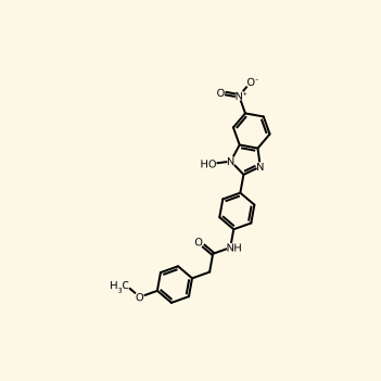 COc1ccc(CC(=O)Nc2ccc(-c3nc4ccc([N+](=O)[O-])cc4n3O)cc2)cc1